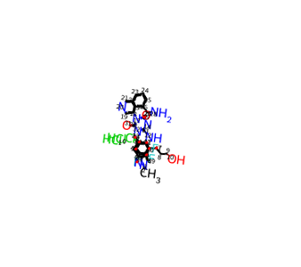 Cl.Cl.Cn1cc2c(CCCO)c(Nc3nc(=O)n(-c4cncc5cccc(CN)c45)c(=O)n3Cc3cc(F)c(F)c(F)c3)c(Cl)cc2n1